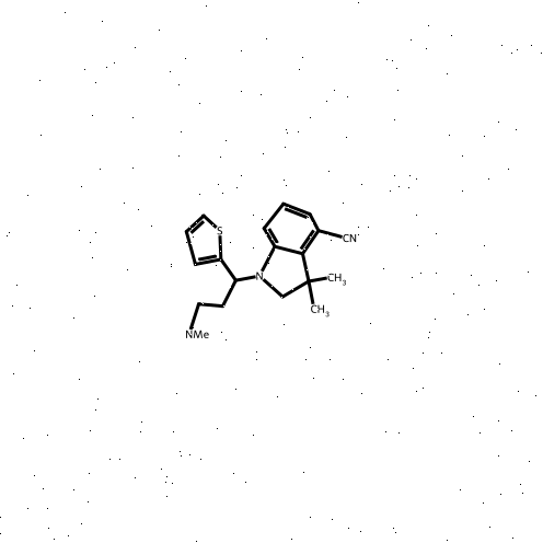 CNCCC(c1cccs1)N1CC(C)(C)c2c(C#N)cccc21